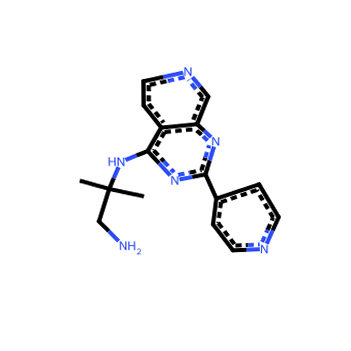 CC(C)(CN)Nc1nc(-c2ccncc2)nc2cnccc12